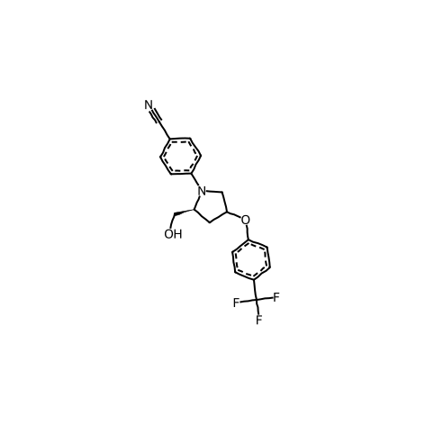 N#Cc1ccc(N2CC(Oc3ccc(C(F)(F)F)cc3)C[C@H]2CO)cc1